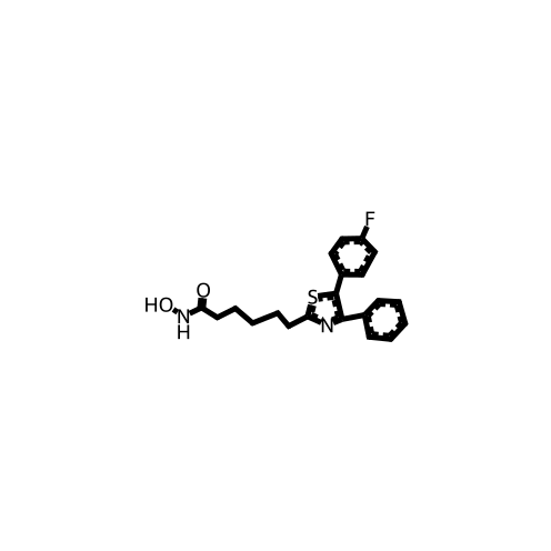 O=C(CCCCCc1nc(-c2ccccc2)c(-c2ccc(F)cc2)s1)NO